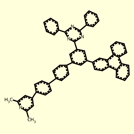 Cc1cc(-c2ccc(-c3ccc(-c4cc(-c5ccc6c7ccccc7c7ccccc7c6c5)cc(-c5nc(-c6ccccc6)nc(-c6ccccc6)n5)c4)cc3)cc2)cc(C)n1